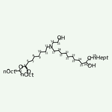 CCCCCCCCC(CCCCCCCC)OC(=O)CCCCCCCN(CCO)CCCCCCCCCC(O)OCCCCCCC